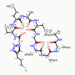 CCCCC[C@H](NC(=O)[C@H](CCCCC)NC(=O)[C@H](CCCCC)NC(=O)[C@H](CCCCC)NC(=O)CNC(=O)[C@H](CC(=O)O)NC(=O)[C@@H](NC(=O)[C@H](CCC(=O)O)NC(=O)[C@H](CC(=O)O)NC(=O)Cn1cc(CCCF)nn1)C(C)C)C(C)=O